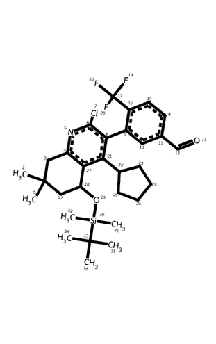 CC1(C)Cc2nc(Cl)c(-c3cc(C=O)ccc3C(F)(F)F)c(C3CCCC3)c2C(O[Si](C)(C)C(C)(C)C)C1